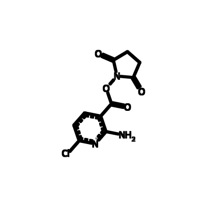 Nc1nc(Cl)ccc1C(=O)ON1C(=O)CCC1=O